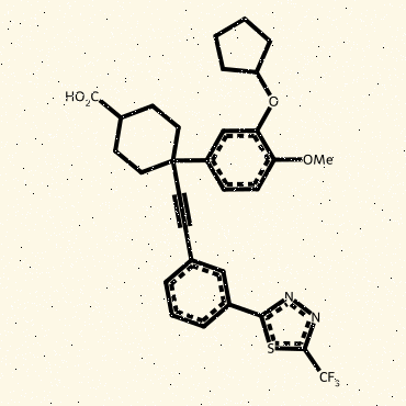 COc1ccc(C2(C#Cc3cccc(-c4nnc(C(F)(F)F)s4)c3)CCC(C(=O)O)CC2)cc1OC1CCCC1